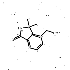 COCc1cccc2c1C(C)(C)NC2=O